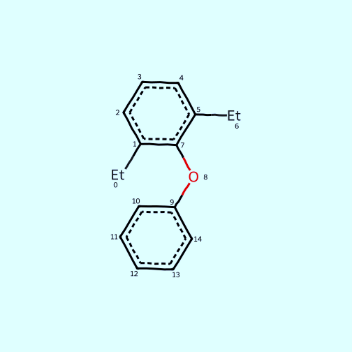 CCc1cccc(CC)c1Oc1ccccc1